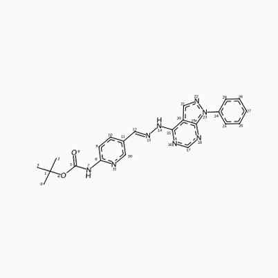 CC(C)(C)OC(=O)Nc1ccc(C=NNc2ncnc3c2cnn3-c2ccccc2)cn1